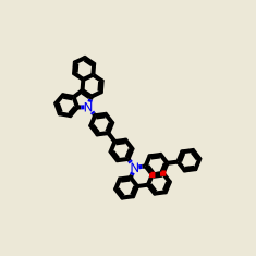 C1=CC2C=Cc3c(c4ccccc4n3-c3ccc(-c4ccc(N(c5ccc(-c6ccccc6)cc5)c5ccccc5-c5ccccc5)cc4)cc3)C2C=C1